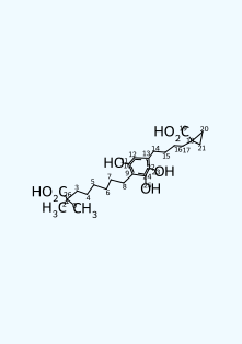 CC(C)(CCCCCCc1c(O)cc(CCCCC2(C(=O)O)CC2)c(O)c1O)C(=O)O